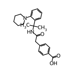 CC(C)(NC(=O)Cc1ccc(C(=O)O)cc1)c1ccccc1N1CCCCC1